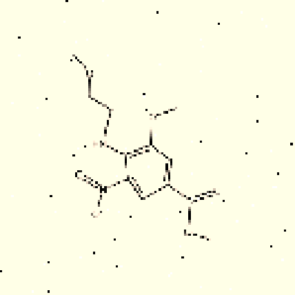 COCCNc1c(OC)cc(C(=O)OC)cc1[N+](=O)[O-]